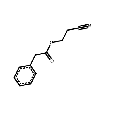 N#CCCOC(=O)Cc1ccccc1